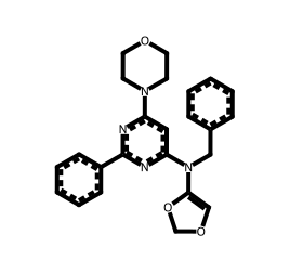 C1=C(N(Cc2ccccc2)c2cc(N3CCOCC3)nc(-c3ccccc3)n2)OCO1